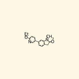 CCOc1ccc(-c2ccc3c(c2)N(C)C(=O)C3)cn1